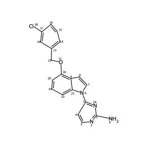 Nc1nccc(-n2ccc3c(OCc4cccc(Cl)c4)cccc32)n1